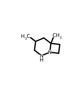 CC1CNN2CCC2(C)C1